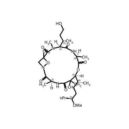 CCC[C@@H](CC[C@@H](C)[C@@H]1OC(=O)[C@H](C)NC(=O)[C@H]([C@@H](C)CCO)N(C)C(=O)C2(C)CN(O2)C(=O)[C@H](C)NC(=O)C1(C)C)OC